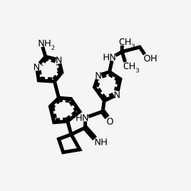 CC(C)(CO)Nc1cnc(C(=O)NC(=N)C2(c3ccc(-c4cnc(N)nc4)cc3)CCC2)cn1